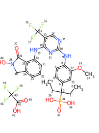 CCC(CC)(c1ccc(Nc2ncc(C(F)(F)F)c(Nc3cccc4c3C(=O)N(O)C4)n2)c(OC)c1)P(=O)(O)O.O=C(O)C(F)(F)F